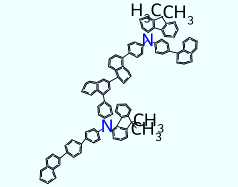 CC1(C)c2ccccc2-c2c(N(c3ccc(-c4ccc(-c5ccc6ccccc6c5)cc4)cc3)c3ccc(-c4cc(-c5cccc6c(-c7ccc(N(c8ccc(-c9cccc%10ccccc9%10)cc8)c8cccc9c8-c8ccccc8C9(C)C)cc7)cccc56)cc5ccccc45)cc3)cccc21